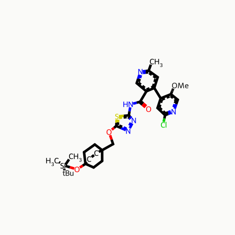 COc1cnc(Cl)cc1-c1cc(C)ncc1C(=O)Nc1nnc(OCC23CCC(O[Si](C)(C)C(C)(C)C)(CC2)CC3)s1